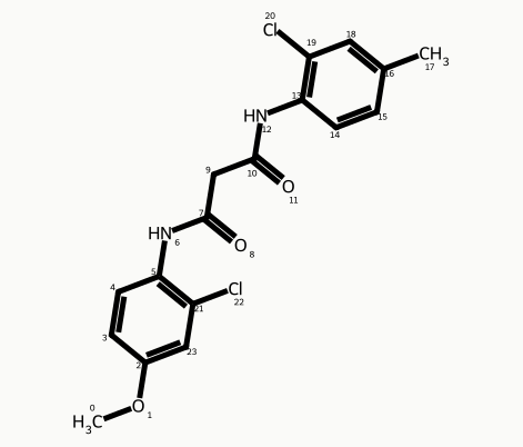 COc1ccc(NC(=O)CC(=O)Nc2ccc(C)cc2Cl)c(Cl)c1